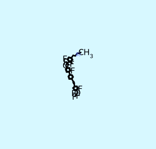 C/C=C/CCc1cc(F)c(C(F)(F)Oc2ccc(-c3ccc(C#Cc4ccc(OC(F)(F)F)c(F)c4)cc3)c(F)c2)c(F)c1